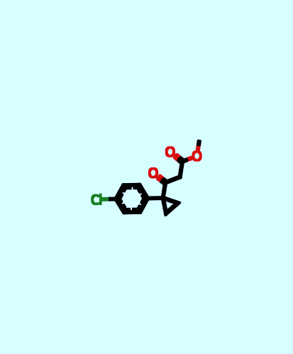 COC(=O)CC(=O)C1(c2ccc(Cl)cc2)CC1